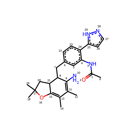 CC(=O)Nc1cc(CC2C(N)=C(C)C(C)=C3OC(C)(C)CC32)ccc1-c1ccn[nH]1